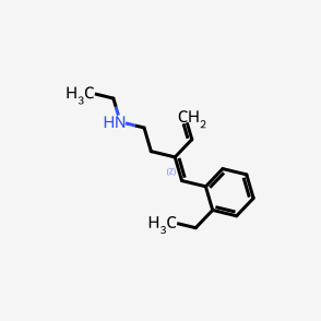 C=C/C(=C\c1ccccc1CC)CCNCC